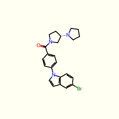 O=C(c1ccc(-n2ccc3cc(Br)ccc32)cc1)N1CC[C@H](N2CCCC2)C1